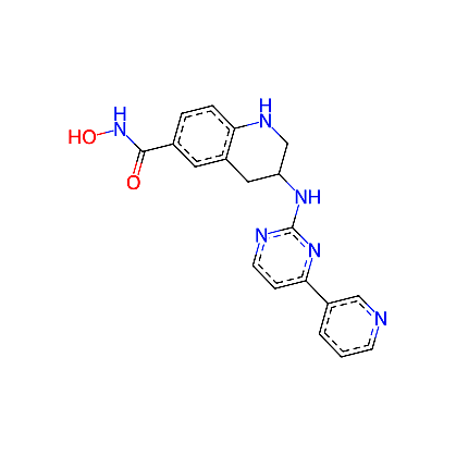 O=C(NO)c1ccc2c(c1)CC(Nc1nccc(-c3cccnc3)n1)CN2